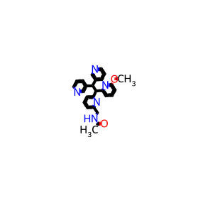 COc1cccc(C(c2cccc(CNC(C)=O)n2)C(c2cccnc2)c2cccnc2)n1